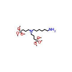 CO[Si](CCCN(CCCCCCN)CCC[Si](OC)(OC)OC)(OC)OC